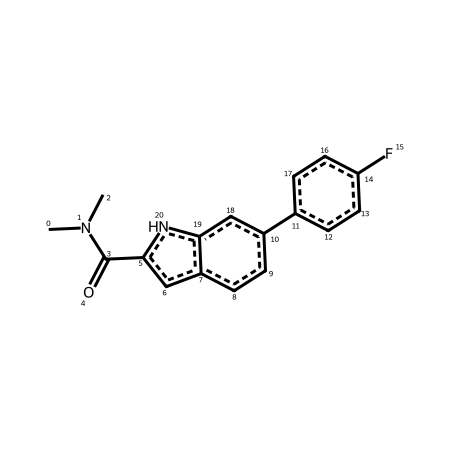 CN(C)C(=O)c1cc2ccc(-c3ccc(F)cc3)cc2[nH]1